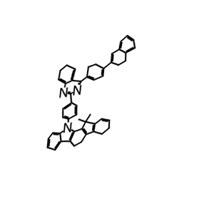 CC1(C)C2=C(CCC=C2)C2=C1c1c(c3ccccc3n1-c1ccc(-c3nc(C4=CC=C(C5=Cc6ccccc6CC5)CC4)c4c(n3)=CCCC=4)cc1)CC2